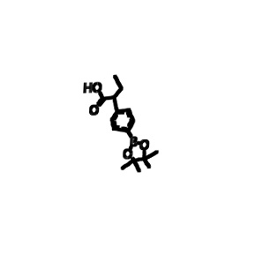 CCC(C(=O)O)c1ccc(B2OC(C)(C)C(C)(C)O2)cc1